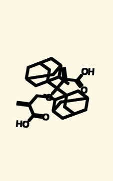 C=C(COC(C(=C)C(=O)O)(C12CC3CC(CC(C3)C1C)C2)C12CC3CC(CC(C3)C1C)C2)C(=O)O